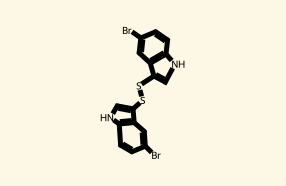 Brc1ccc2[nH]cc(SSc3c[nH]c4ccc(Br)cc34)c2c1